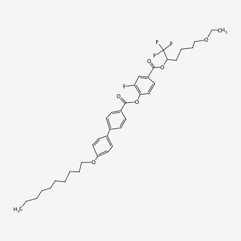 CCCCCCCCCCOc1ccc(-c2ccc(C(=O)Oc3ccc(C(=O)OC(CCCCOCC)C(F)(F)F)cc3F)cc2)cc1